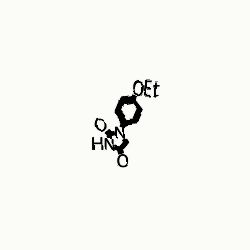 CCOc1ccc(N2CC(=O)NC2=O)cc1